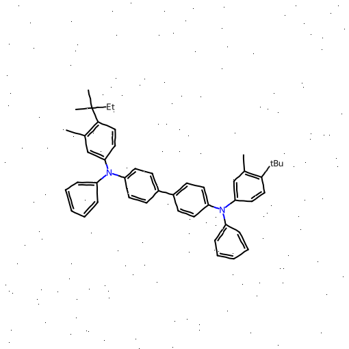 CCC(C)(C)c1ccc(N(c2ccccc2)c2ccc(-c3ccc(N(c4ccccc4)c4ccc(C(C)(C)C)c(C)c4)cc3)cc2)cc1C